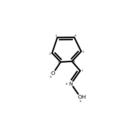 [O]c1ccccc1C=NO